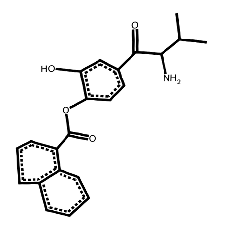 CC(C)C(N)C(=O)c1ccc(OC(=O)c2cccc3ccccc23)c(O)c1